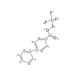 O=C(OSC(F)(F)F)c1ccc(-c2ccccc2)cc1